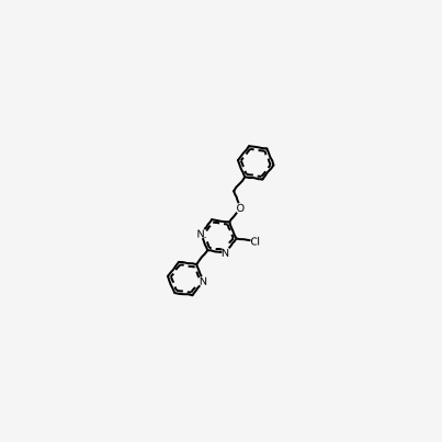 Clc1nc(-c2ccccn2)ncc1OCc1ccccc1